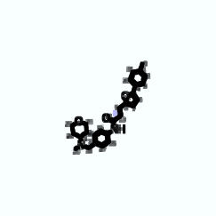 Cc1ccc(-c2ccc(/C=C/C(=O)Nc3ccc(CN(C)C4CCOCC4)cc3)o2)cc1